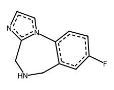 Fc1ccc2c(c1)CNCc1nccn1-2